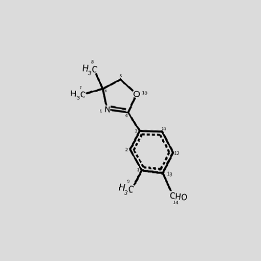 Cc1cc(C2=NC(C)(C)CO2)ccc1C=O